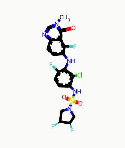 Cn1cnc2ccc(Nc3c(F)ccc(NS(=O)(=O)N4C[C@@H](F)[C@@H](F)C4)c3Cl)c(F)c2c1=O